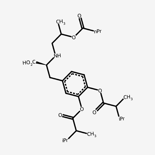 CCCC(=O)OC(C)CN[C@@H](Cc1ccc(OC(=O)C(C)C(C)C)c(OC(=O)C(C)C(C)C)c1)C(=O)O